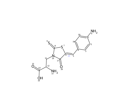 Nc1ccc(/C=C2\SC(=S)N(CC(N)C(=O)O)C2=O)cc1